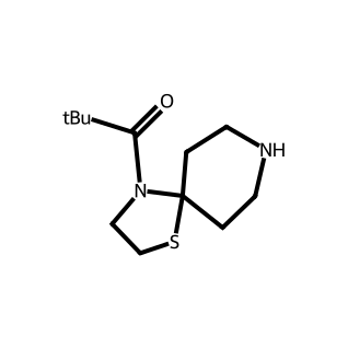 CC(C)(C)C(=O)N1CCSC12CCNCC2